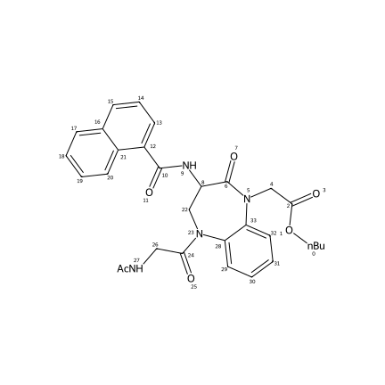 CCCCOC(=O)CN1C(=O)C(NC(=O)c2cccc3ccccc23)CN(C(=O)CNC(C)=O)c2ccccc21